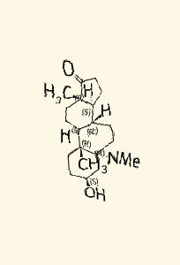 CN[C@@]12CC[C@H]3[C@@H]4CCC(=O)[C@@]4(C)CC[C@@H]3[C@@]1(C)CC[C@H](O)C2